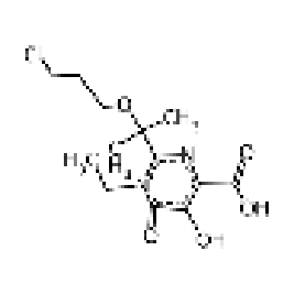 CCn1c(C(C)(C)OCCCCl)nc(C(=O)O)c(O)c1=O